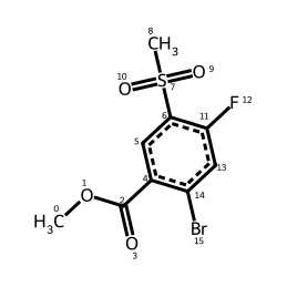 COC(=O)c1cc(S(C)(=O)=O)c(F)cc1Br